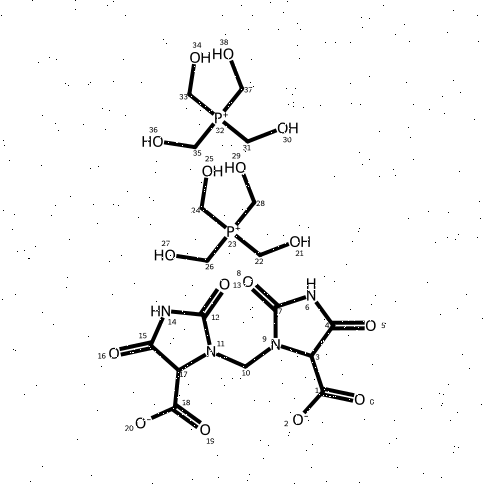 O=C([O-])C1C(=O)NC(=O)N1CN1C(=O)NC(=O)C1C(=O)[O-].OC[P+](CO)(CO)CO.OC[P+](CO)(CO)CO